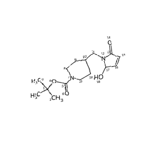 CC(C)(C)OC(=O)N1CCC(CN2C(=O)C=CC2O)CC1